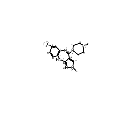 CN1CCN(C2=Nc3cc(C(F)(F)F)ccc3Nc3nn(C)cc32)CC1